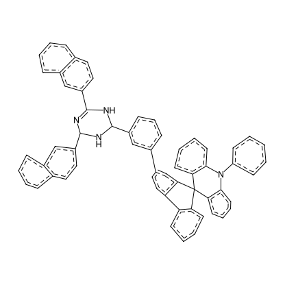 c1ccc(N2c3ccccc3C3(c4ccccc4-c4ccc(-c5cccc(C6NC(c7ccc8ccccc8c7)=NC(c7ccc8ccccc8c7)N6)c5)cc43)c3ccccc32)cc1